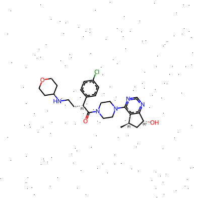 C[C@@H]1C[C@@H](O)c2ncnc(N3CCN(C(=O)[C@H](CCNC4CCOCC4)c4ccc(Cl)cc4)CC3)c21